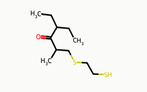 CCC(CC)C(=O)C(C)CSCCS